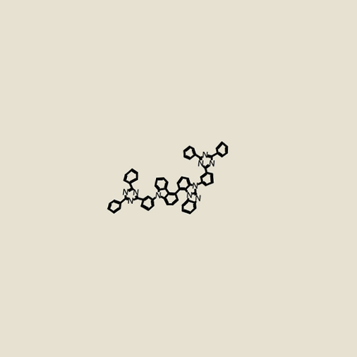 c1ccc(-c2nc(-c3ccccc3)nc(-c3cccc(-n4c5ccccc5c5c(-c6cccc7c6n6c8ccccc8nc6n7-c6cccc(-c7nc(-c8ccccc8)nc(-c8ccccc8)n7)c6)cccc54)c3)n2)cc1